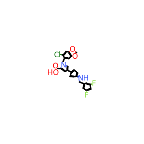 O=C(O)c1cc(-c2ccc(NCc3cc(F)cc(F)c3)cc2)cn1Cc1cc2c(cc1Cl)OCO2